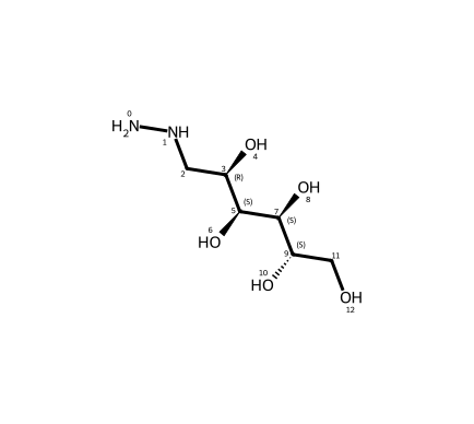 NNC[C@@H](O)[C@H](O)[C@@H](O)[C@@H](O)CO